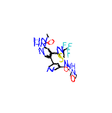 CCNC(=O)Nc1cc(-c2nc(C(F)(F)F)cs2)c(-c2cncc(-c3nnc([C@H]4COCCN4)o3)c2)cn1